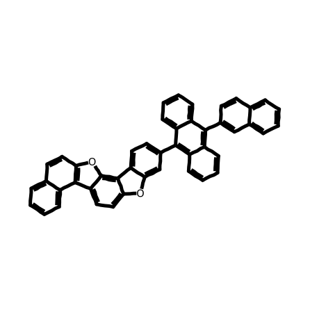 c1ccc2cc(-c3c4ccccc4c(-c4ccc5c(c4)oc4ccc6c(oc7ccc8ccccc8c76)c45)c4ccccc34)ccc2c1